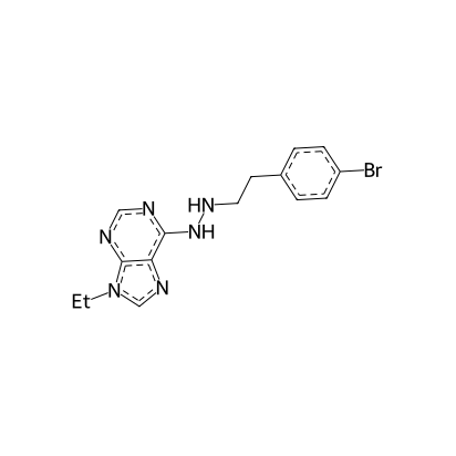 CCn1cnc2c(NNCCc3ccc(Br)cc3)ncnc21